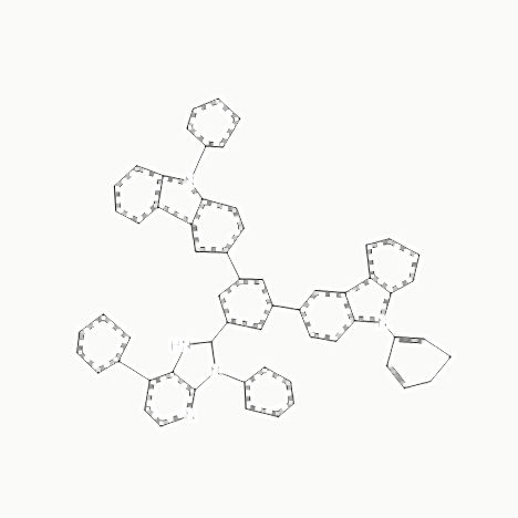 C1=CC(n2c3ccccc3c3cc(-c4cc(-c5ccc6c(c5)c5ccccc5n6-c5ccccc5)cc(C5Nc6c(-c7ccccc7)ccnc6N5c5ccccc5)c4)ccc32)=CCC1